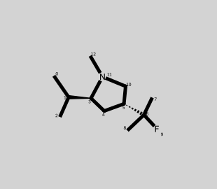 CC(C)[C@@H]1C[C@@H](C(C)(C)F)CN1C